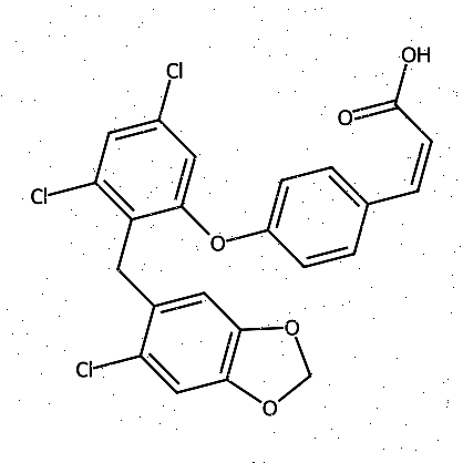 O=C(O)/C=C\c1ccc(Oc2cc(Cl)cc(Cl)c2Cc2cc3c(cc2Cl)OCO3)cc1